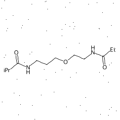 CCC(=O)NCCOCCCNC(=O)C(C)C